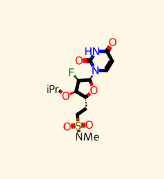 CNS(=O)(=O)CC[C@H]1O[C@@H](n2ccc(=O)[nH]c2=O)[C@H](F)[C@@H]1OC(C)C